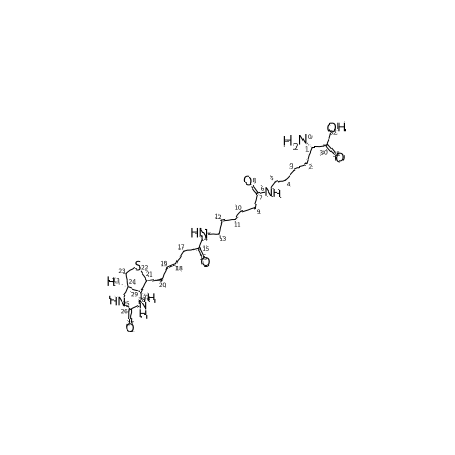 N[C@@H](CCCCNC(=O)CCCCCNC(=O)CCCC[C@@H]1SC[C@@H]2NC(=O)N[C@@H]21)C(=O)O